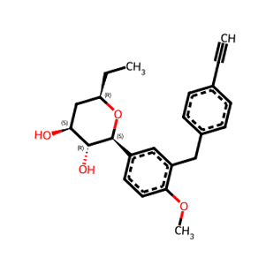 C#Cc1ccc(Cc2cc([C@@H]3O[C@H](CC)C[C@H](O)[C@H]3O)ccc2OC)cc1